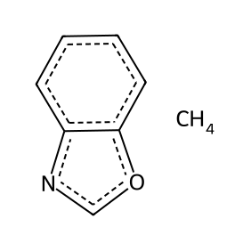 C.c1ccc2ocnc2c1